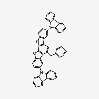 c1ccc(Cc2cc3c4cc(-n5c6ccccc6c6ccccc65)ccc4oc3c3oc4ccc(-n5c6ccccc6c6ccccc65)cc4c23)cc1